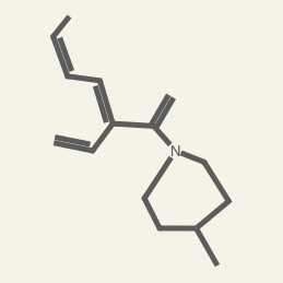 C=C/C(=C\C=C/C)C(=C)N1CCC(C)CC1